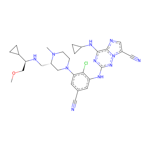 COC[C@H](NC[C@H]1CN(c2cc(C#N)cc(Nc3nc(NC4CC4)c4ncc(C#N)n4n3)c2Cl)CCN1C)C1CC1